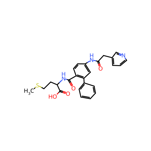 CSCCC(NC(=O)c1ccc(NC(=O)Cc2cccnc2)cc1-c1ccccc1)C(=O)O